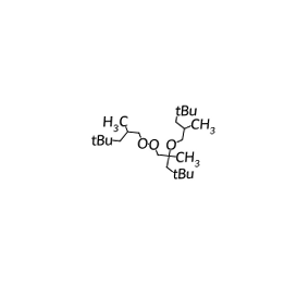 CC(COOCC(C)(CC(C)(C)C)OCC(C)CC(C)(C)C)CC(C)(C)C